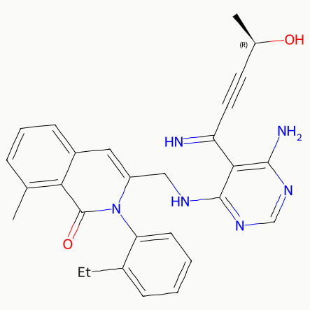 CCc1ccccc1-n1c(CNc2ncnc(N)c2C(=N)C#C[C@@H](C)O)cc2cccc(C)c2c1=O